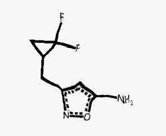 Nc1cc(CC2CC2(F)F)no1